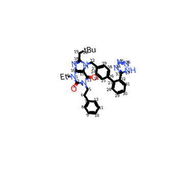 CCn1c(=O)n(CCc2ccccc2)c(=O)c2c1nc(CC(C)(C)C)n2Cc1ccc(-c2ccccc2-c2nnn[nH]2)cc1